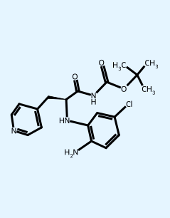 CC(C)(C)OC(=O)NC(=O)[C@H](Cc1ccncc1)Nc1cc(Cl)ccc1N